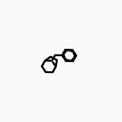 c1ccc(CN2C3CCCC2CC3)cc1